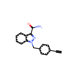 C#Cc1ccc(Cn2nc(C(N)=O)c3ccccc32)cc1